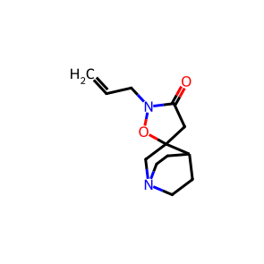 C=CCN1OC2(CC1=O)CN1CCC2CC1